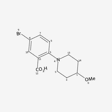 COC1CCN(c2ccc(Br)cc2C(=O)O)CC1